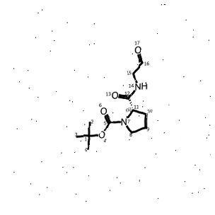 CC(C)(C)OC(=O)N1CCC[C@H]1C(=O)NCC=O